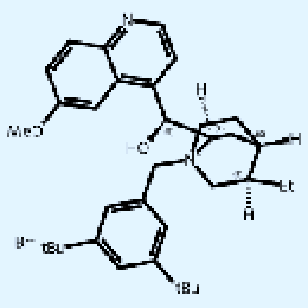 CC[C@H]1C[N+]2(Cc3cc(C(C)(C)C)cc(C(C)(C)C)c3)CC[C@H]1C[C@@H]2[C@@H](O)c1ccnc2ccc(OC)cc12.[Br-]